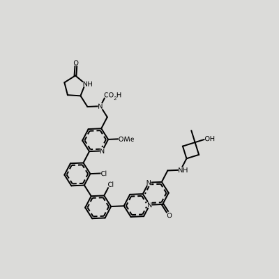 COc1nc(-c2cccc(-c3cccc(-c4ccn5c(=O)cc(CNC6CC(C)(O)C6)nc5c4)c3Cl)c2Cl)ccc1CN(CC1CCC(=O)N1)C(=O)O